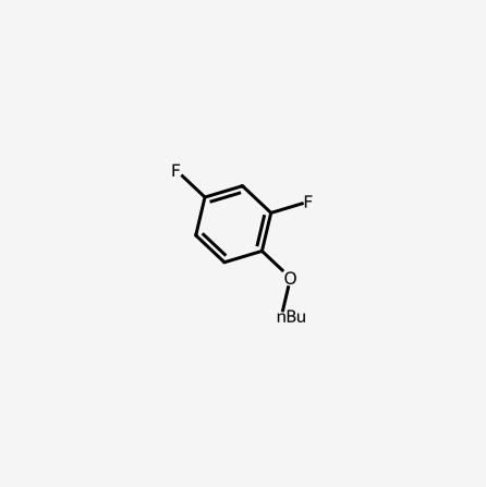 CCCCOc1ccc(F)cc1F